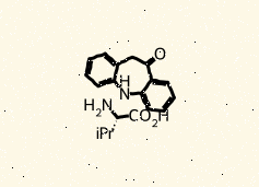 CC(C)[C@H](N)C(=O)O.O=C1Cc2ccccc2Nc2ccccc21